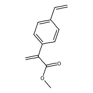 C=Cc1ccc(C(=C)C(=O)OC)cc1